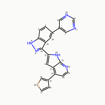 c1ncc(-c2ccc3[nH]nc(-c4cc5c(-c6ccsc6)ccnc5[nH]4)c3c2)cn1